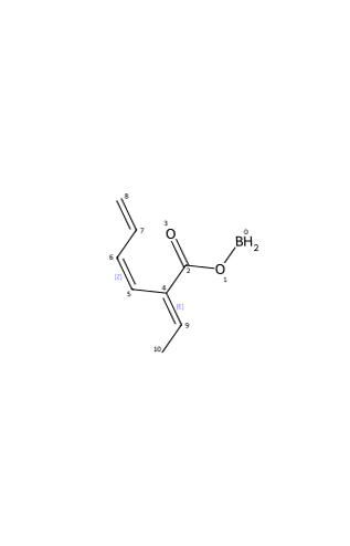 BOC(=O)C(/C=C\C=C)=C/C